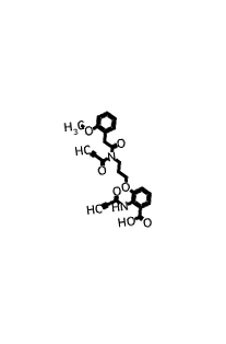 C#CC(=O)Nc1c(OCCCN(C(=O)C#C)C(=O)Cc2ccccc2OC)cccc1C(=O)O